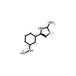 NC1NC(C2CCCC(NO)C2)=CS1